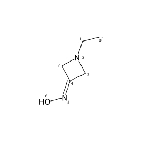 [CH2]CN1CC(=NO)C1